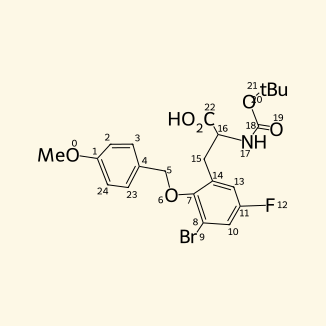 COc1ccc(COc2c(Br)cc(F)cc2CC(NC(=O)OC(C)(C)C)C(=O)O)cc1